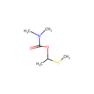 CSC(C)OC(=O)N(C)C